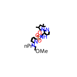 CCCN(CCOC)c1cccc(S(=O)(=O)NC(=O)c2cccnc2N2CC(C)CC2(C)C)n1